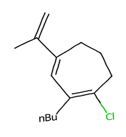 C=C(C)C1=CC(CCCC)=C(Cl)CCC1